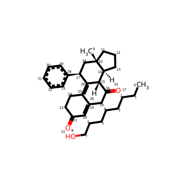 CCCCCCCCO.C[C@@]12CCC[C@H]1[C@@H]1C(=O)CC3=CC(=O)CCC3=C1[C@@H](c1ccccc1)C2